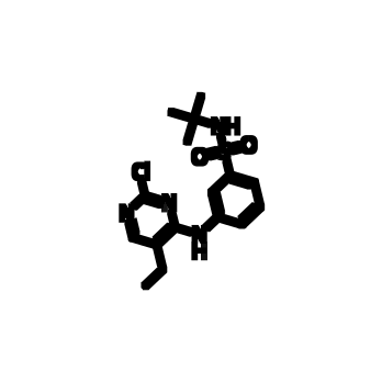 CCc1cnc(Cl)nc1Nc1cccc(S(=O)(=O)NC(C)(C)C)c1